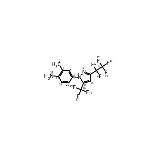 Cc1cc(-n2nc(C(F)(F)C(F)(F)F)cc2C(F)(F)F)ccc1N